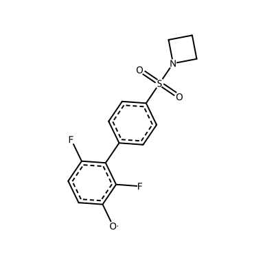 [O]c1ccc(F)c(-c2ccc(S(=O)(=O)N3CCC3)cc2)c1F